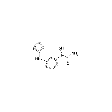 NC(=O)N(S)c1cccc(Nc2ncco2)c1